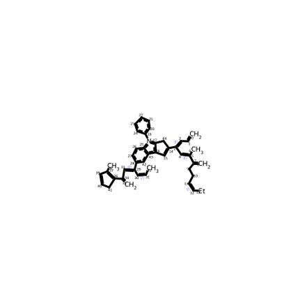 C=C/C=C(\C=C(/C)C(=C)CC/C=C\CC)C1=Cc2c(n(-c3ccccc3)c3ccc(C(/C=C\C)=C/C(=C)C4=C(C)C=CC4)cc23)C1